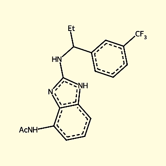 CCC(Nc1nc2c(NC(C)=O)cccc2[nH]1)c1cccc(C(F)(F)F)c1